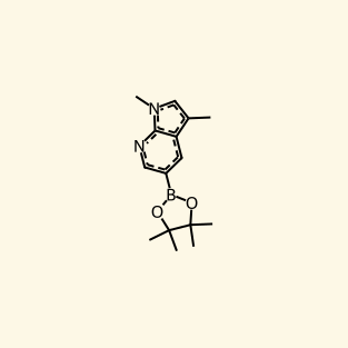 Cc1cn(C)c2ncc(B3OC(C)(C)C(C)(C)O3)cc12